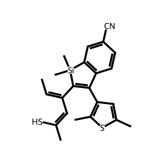 C/C=C(/C=C(/C)S)C1=C(c2cc(C)sc2C)c2ccc(C#N)cc2[Si]1(C)C